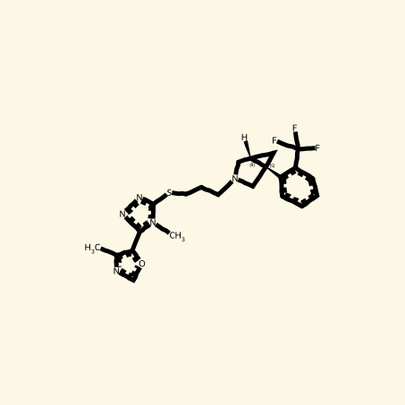 Cc1ncoc1-c1nnc(SCCCN2C[C@@H]3C[C@]3(c3ccccc3C(F)(F)F)C2)n1C